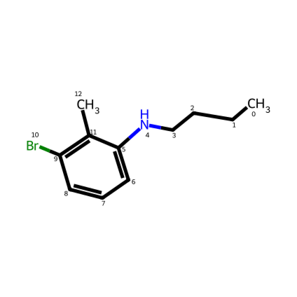 CCCCNc1cccc(Br)c1C